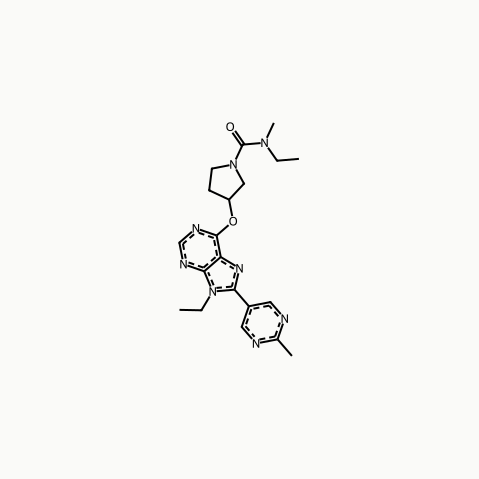 CCN(C)C(=O)N1CCC(Oc2ncnc3c2nc(-c2cnc(C)nc2)n3CC)C1